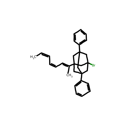 C\C=C/C=C\C=C(/C)C12CC3(Br)CC(c4ccccc4)(C1)CC(c1ccccc1)(C3)C2